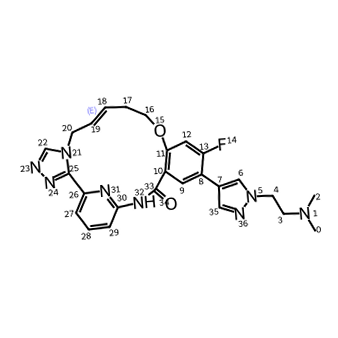 CN(C)CCn1cc(-c2cc3c(cc2F)OCC/C=C/Cn2cnnc2-c2cccc(n2)NC3=O)cn1